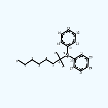 CCCCCCC(C)(C)[Si](c1ccccc1)c1ccccc1